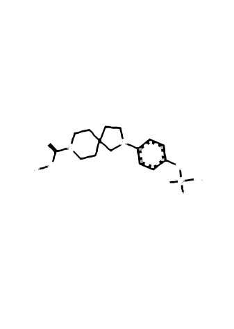 CC(C)(C)OC(=O)N1CCC2(CC1)CCN(c1ccc(O[Si](C)(C)C(C)(C)C)cc1)C2